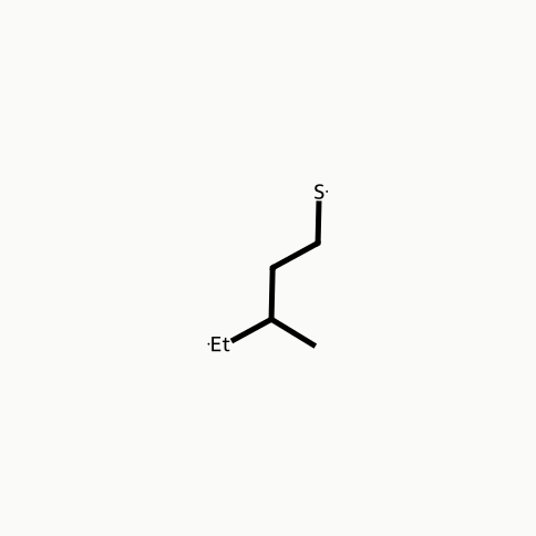 C[CH]C(C)CC[S]